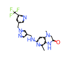 Cc1nc(NCc2cnn(Cc3cncc(C(F)(F)F)c3)c2)cc2c1NC(=O)CN2C